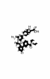 CCN(CC)C(=O)c1cccc(-c2cc(Cl)ccc2[C@@H](Oc2cc(N3CCC4(CC3)CNC(C(=O)O)C4)nc(N)n2)C(F)(F)F)c1